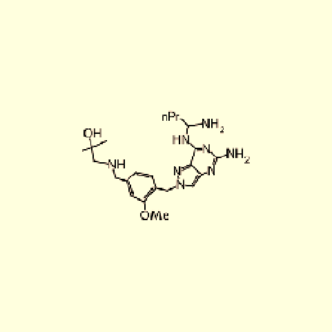 CCCC(N)Nc1nc(N)nc2cn(Cc3ccc(CNCC(C)(C)O)cc3OC)nc12